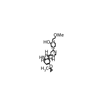 COCCN1CCN(C2C[C@H]([C@@H]3NN[C@@H]4CC=C(OC5(C)CC5)C[C@H]34)NC=N2)CC1O